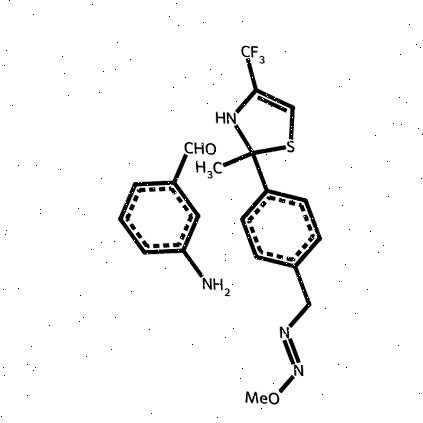 CON=NCc1ccc(C2(C)NC(C(F)(F)F)=CS2)cc1.Nc1cccc(C=O)c1